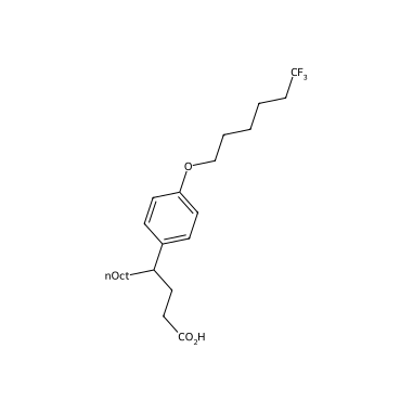 CCCCCCCCC(CCC(=O)O)c1ccc(OCCCCCC(F)(F)F)cc1